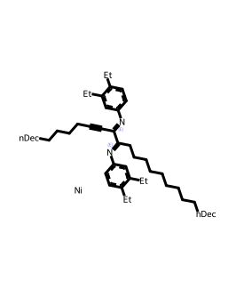 CCCCCCCCCCCCCCC#CC(=N\c1ccc(CC)c(CC)c1)/C(CCCCCCCCCCCCCCCCCCC)=N/c1ccc(CC)c(CC)c1.[Ni]